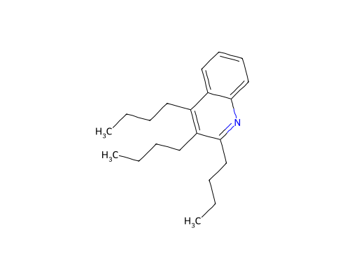 CCCCc1nc2ccccc2c(CCCC)c1CCCC